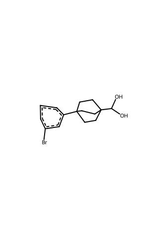 OC(O)C12CCC(c3cccc(Br)c3)(CC1)CC2